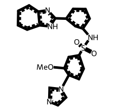 COc1cc(S(=O)(=O)Nc2cccc(-c3nc4ccccc4[nH]3)c2)ccc1-n1ccnc1